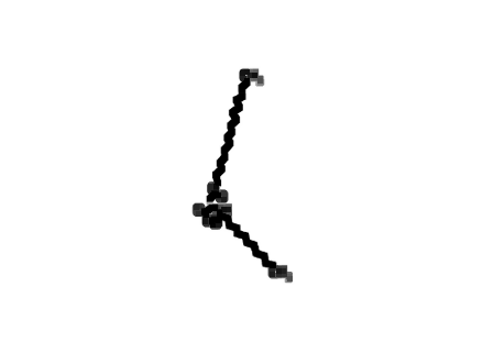 CCCCCCCCCCCCCCCCCCOC(=O)C[C@H](NC(=O)CCCCCCCCCCCC)C(=O)O